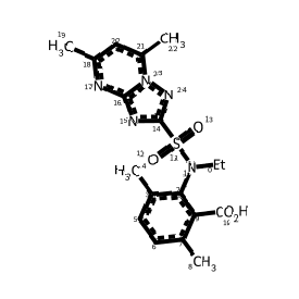 CCN(c1c(C)ccc(C)c1C(=O)O)S(=O)(=O)c1nc2nc(C)cc(C)n2n1